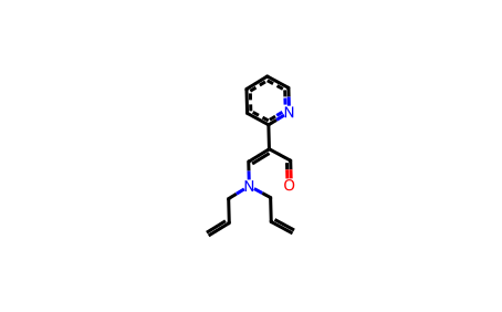 C=CCN(C=C(C=O)c1ccccn1)CC=C